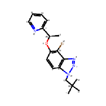 C[C@@H](Oc1ccc2c(nnn2CC(C)(C)C)c1Br)c1ccccn1